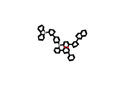 c1ccc(-c2cccc(-c3ccccc3N(c3ccc(-c4cccc(-c5ccc6ccccc6c5)c4)cc3)c3ccc(-c4cccc(-n5c6ccccc6c6ccccc65)c4)cc3)c2)cc1